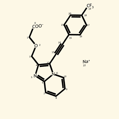 O=C([O-])COCc1nc2ccccn2c1C#Cc1ccc(C(F)(F)F)cc1.[Na+]